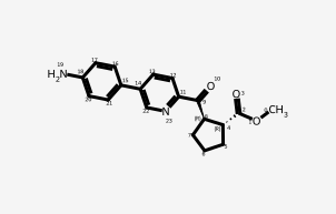 COC(=O)[C@@H]1CCC[C@H]1C(=O)c1ccc(-c2ccc(N)cc2)cn1